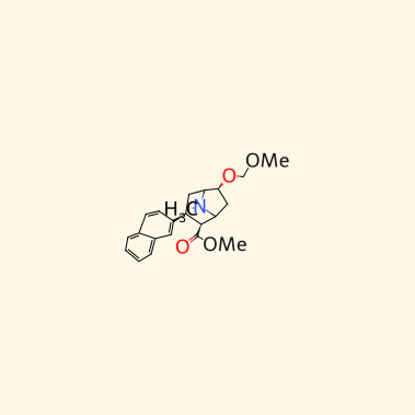 COCO[C@H]1CC2[C@@H](C(=O)OC)[C@@H](c3ccc4ccccc4c3)CC1N2C